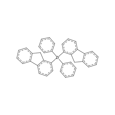 c1cc[c]([Zr]([c]2ccccc2)([c]2cccc3c2Cc2ccccc2-3)[c]2cccc3c2Cc2ccccc2-3)cc1